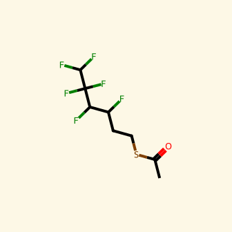 CC(=O)SCCC(F)C(F)C(F)(F)C(F)F